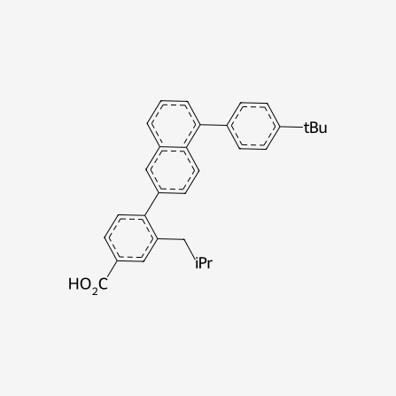 CC(C)Cc1cc(C(=O)O)ccc1-c1ccc2c(-c3ccc(C(C)(C)C)cc3)cccc2c1